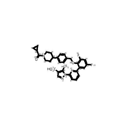 O=C(O)c1cnn(-c2cccc(-c3cc(F)cc(F)c3OCc3ccc(C4CCN(C(=O)C5CC5)CC4)cc3)n2)c1C(F)(F)F